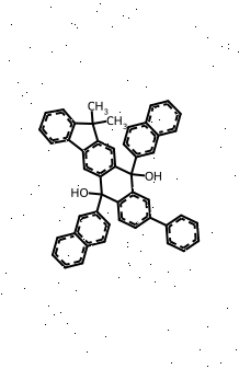 CC1(C)c2ccccc2-c2cc3c(cc21)C(O)(c1ccc2ccccc2c1)c1cc(-c2ccccc2)ccc1C3(O)c1ccc2ccccc2c1